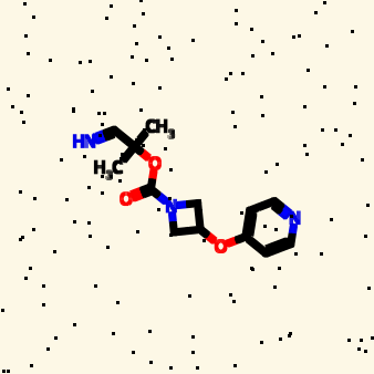 CC(C)(C=N)OC(=O)N1CC(Oc2ccncc2)C1